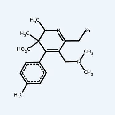 Cc1ccc(C2=C(CN(C)C)C(CC(C)C)=NC(C)C2(C)C(=O)O)cc1